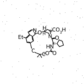 CCc1cc2cc3c(nccc13)O[C@@H]1C[C@@H](C(=O)O)N(C1)C(=O)[C@H](C1CCCC1)NC(=O)OCC(C)(C)CCC2